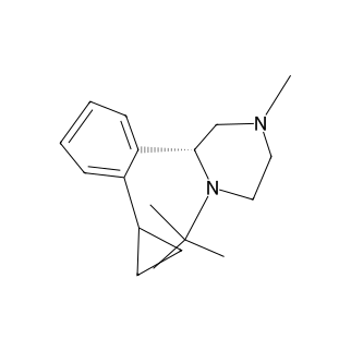 CN1CCN(C(C)(C)C)[C@H](c2ccccc2C2CC2)C1